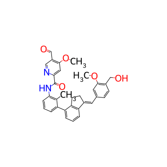 COc1cc(C(=O)Nc2cccc(-c3cccc4c3CC/C4=C\c3ccc(CO)c(OC)c3)c2C)ncc1C=O